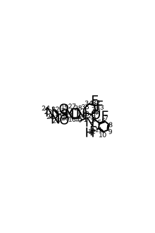 CC(NC(=O)c1c(F)cccc1F)C1(N2CCN(S(=O)(=O)c3cn(C)cn3)CC2)CCC(F)(F)CC1